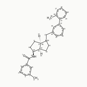 Cc1cncc(C(=O)N[C@H]2CC[C@@H]3[C@H]2CCN3Cc2cccc(-c3ccccc3C)c2)c1